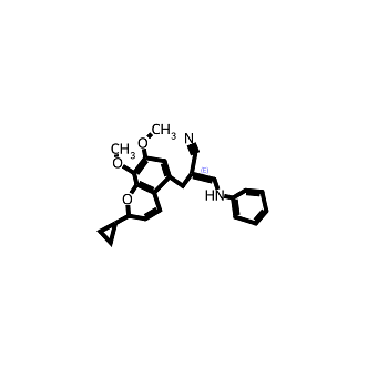 COc1cc(C/C(C#N)=C\Nc2ccccc2)c2c(c1OC)OC(C1CC1)C=C2